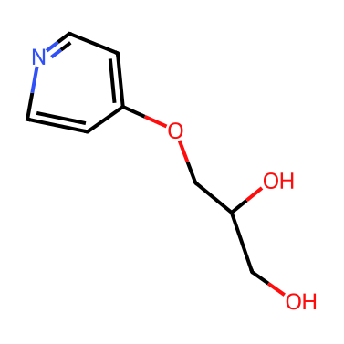 OCC(O)COc1ccncc1